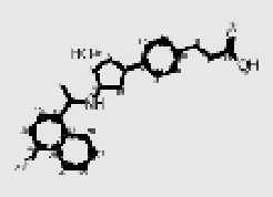 CC(NC1CCC(c2ccc(CCC(=O)O)cc2)C1)c1ccc(F)c2ccccc12.Cl